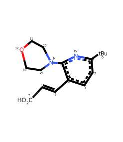 CC(C)(C)c1ccc(/C=C/C(=O)O)c(N2CCOCC2)n1